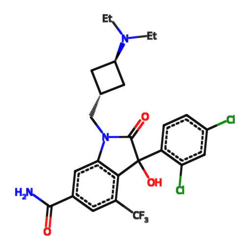 CCN(CC)[C@H]1C[C@H](CN2C(=O)C(O)(c3ccc(Cl)cc3Cl)c3c2cc(C(N)=O)cc3C(F)(F)F)C1